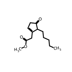 CCCCCC1C(=O)CC=C1CC(=O)OC